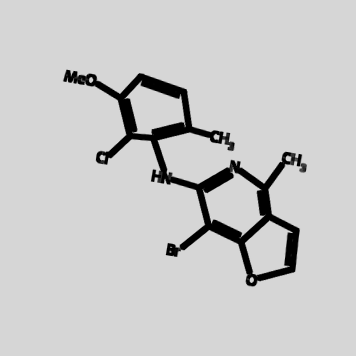 COc1ccc(C)c(Nc2nc(C)c3ccoc3c2Br)c1Cl